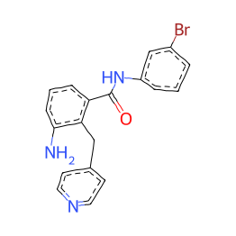 Nc1cccc(C(=O)Nc2cccc(Br)c2)c1Cc1ccncc1